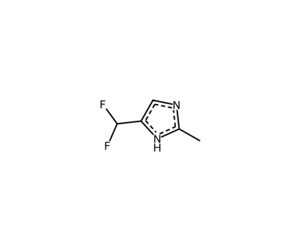 Cc1ncc(C(F)F)[nH]1